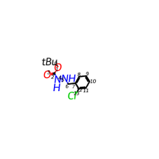 CC(C)(C)OC(=O)NNCc1ccccc1Cl